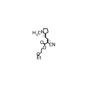 CCOCCOC(=O)/C(C#N)=C\C=C1/CCCN1C